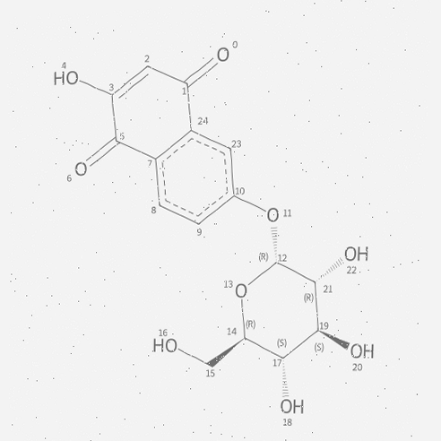 O=C1C=C(O)C(=O)c2ccc(O[C@H]3O[C@H](CO)[C@@H](O)[C@H](O)[C@H]3O)cc21